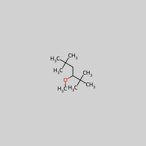 COC(CC(C)(C)C)C(C)(C)C